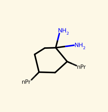 CCCC1CCC(N)(N)C(CCC)C1